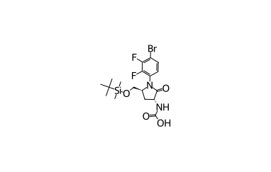 CC(C)(C)[Si](C)(C)OC[C@@H]1C[C@@H](NC(=O)O)C(=O)N1c1ccc(Br)c(F)c1F